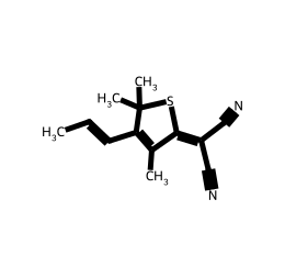 C/C=C/C1=C(C)C(=C(C#N)C#N)SC1(C)C